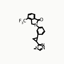 Cn1cnnc1C1CC1c1cccc(N2Cc3c(cccc3C(F)(F)F)C2=O)c1